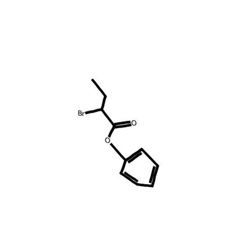 CCC(Br)C(=O)Oc1ccccc1